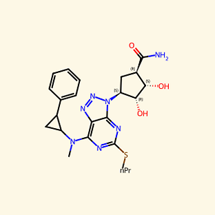 CCCSc1nc(N(C)C2CC2c2ccccc2)c2nnn([C@H]3C[C@@H](C(N)=O)[C@H](O)[C@@H]3O)c2n1